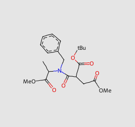 COC(=O)CC(C(=O)OC(C)(C)C)C(=O)N(Cc1ccccc1)C(C)C(=O)OC